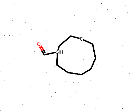 O=C[SiH]1CCCCCCCCC1